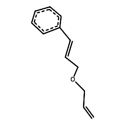 C=CCOCC=Cc1ccccc1